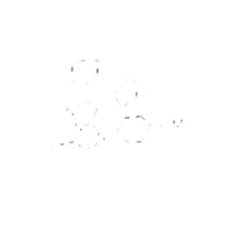 COc1ccc(-n2c(C)cc(=O)n3nc(-c4ccccc4)c(-c4ccccc4)c23)cc1F